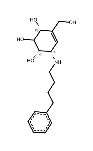 OCC1=C[C@H](NCCCCc2ccccc2)[C@H](O)C(O)[C@@H]1O